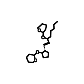 CCCCCC(/C=C/[C@@H]1CCCC1OC1CCCCO1)OC1CCCCO1